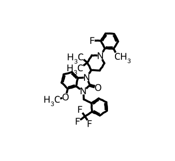 COc1cccc2c1n(Cc1ccccc1C(F)(F)F)c(=O)n2C1CCN(c2c(C)cccc2F)CC1(C)C